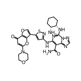 NC(=O)c1c(Nc2cc(-c3coc4c(=O)cc(N5CCOCC5)oc34)sn2)nc(N[C@H]2CCCC[C@H]2N)n2ncnc12